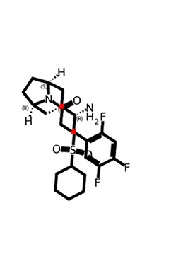 N[C@H](Cc1cc(F)c(F)cc1F)[C@@H]1C[C@H]2CC[C@@H](C1)N2C(=O)CCS(=O)(=O)C1CCCCC1